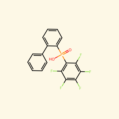 O=P(O)(c1ccccc1-c1ccccc1)c1c(F)c(F)c(F)c(F)c1F